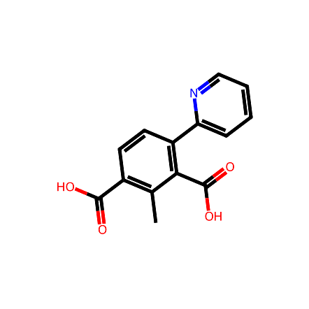 Cc1c(C(=O)O)ccc(-c2ccccn2)c1C(=O)O